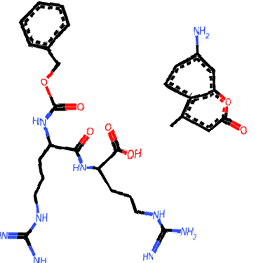 Cc1cc(=O)oc2cc(N)ccc12.N=C(N)NCCCC(NC(=O)C(CCCNC(=N)N)NC(=O)OCc1ccccc1)C(=O)O